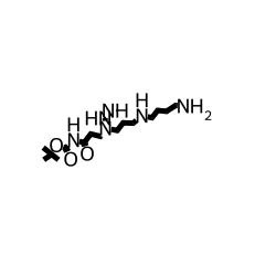 CC(C)(C)OC(=O)NC(=O)CCN(CCCNCCCCN)N[NH]